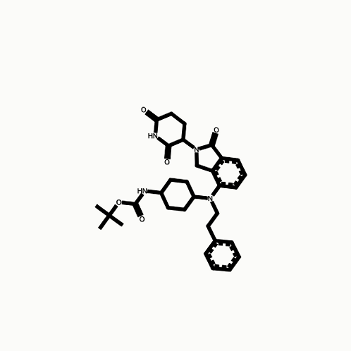 CC(C)(C)OC(=O)NC1CCC(N(CCc2ccccc2)c2cccc3c2CN(C2CCC(=O)NC2=O)C3=O)CC1